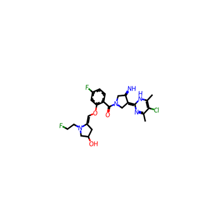 CC1=N/C(=C2\CN(C(=O)c3ccc(F)cc3O/C=C3\CC(O)CN3CCF)CC2=N)NC(C)=C1Cl